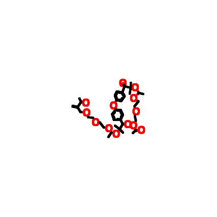 C=C(COCCOCCOC(C)OC(C)(C)C(=O)c1ccc(Oc2ccc(C(=O)C(C)(C)OC(C)OCCOCCOC(C)=O)cc2)cc1)C(C)=O